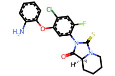 Nc1ccccc1Oc1cc(N2C(=O)[C@@H]3CCCCN3C2=S)c(F)cc1Cl